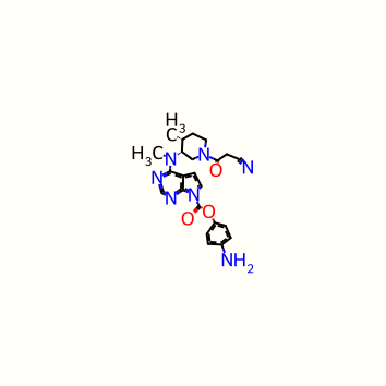 C[C@@H]1CCN(C(=O)CC#N)C[C@@H]1N(C)c1ncnc2c1ccn2C(=O)Oc1ccc(N)cc1